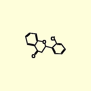 O=C1CC(c2ccccc2Cl)Oc2ccccc21